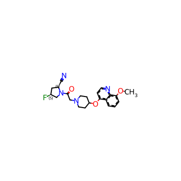 COc1cccc2c(OC3CCN(CC(=O)N4C[C@@H](F)C[C@H]4C#N)CC3)ccnc12